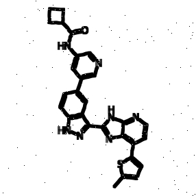 Cc1ccc(-c2ccnc3[nH]c(-c4n[nH]c5ccc(-c6cncc(NC(=O)C7CCC7)c6)cc45)nc23)s1